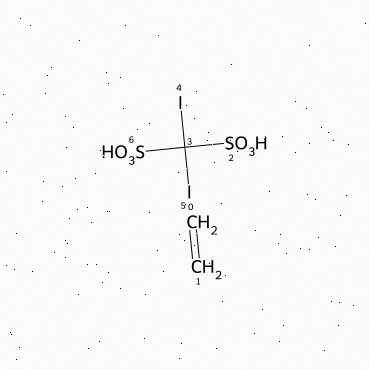 C=C.O=S(=O)(O)C(I)(I)S(=O)(=O)O